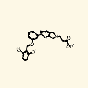 O=C(O)CCN1Cc2ccc(-c3cccc(OCc4c(Cl)cccc4Cl)c3)nc2C1